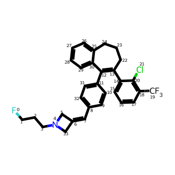 FCCCN1CC(=Cc2ccc(C3=C(c4cccc(C(F)(F)F)c4Cl)CCCc4ccccc43)cc2)C1